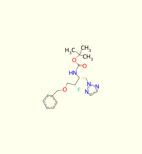 CC(C)(C)OC(=O)N[C@H](Cn1nccn1)[C@H](F)COCc1ccccc1